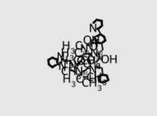 CN(C(=O)O)[C@H](C(=O)N[C@@H](Cc1ccc(-c2ccccn2)cc1)[C@H](O)C[C@H](Cc1ccccc1)NC(=O)[C@@H](N1CCN(Cc2nc3ccccc3n2C)C1=O)C(C)(C)C)C(C)(C)C